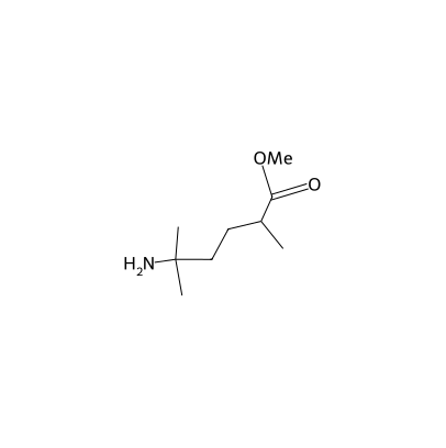 COC(=O)C(C)CCC(C)(C)N